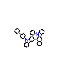 c1ccc(-c2ccc(-n3c4ccccc4c4cc(-c5c6ccccc6cc6c7ccccc7n(-c7ccccc7)c56)ccc43)cc2)cc1